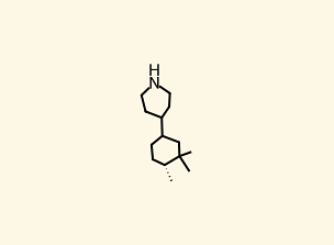 C[C@@H]1CCC(C2CCNCC2)CC1(C)C